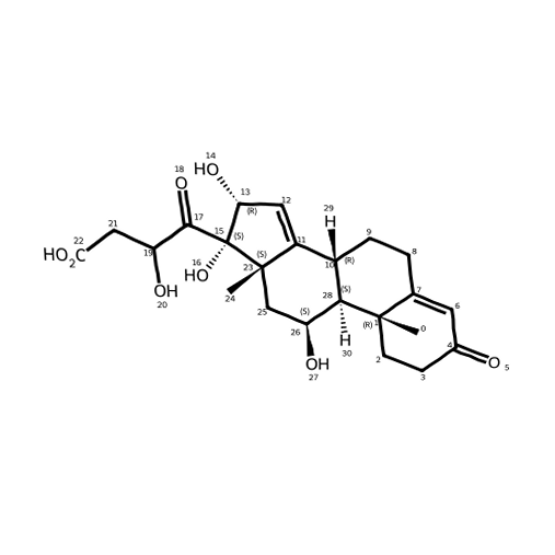 C[C@]12CCC(=O)C=C1CC[C@H]1C3=C[C@@H](O)[C@](O)(C(=O)C(O)CC(=O)O)[C@@]3(C)C[C@H](O)[C@@H]12